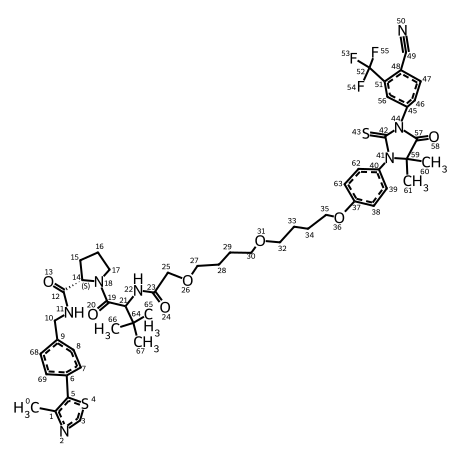 Cc1ncsc1-c1ccc(CNC(=O)[C@@H]2CCCN2C(=O)C(NC(=O)COCCCCOCCCCOc2ccc(N3C(=S)N(c4ccc(C#N)c(C(F)(F)F)c4)C(=O)C3(C)C)cc2)C(C)(C)C)cc1